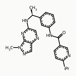 CC(C)c1ccc(C(=O)Nc2cccc([C@H](C)Nc3cnc4cnn(C)c4n3)c2)cn1